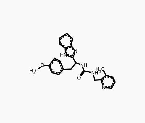 COc1ccc(CC(NC(=O)NCc2ncccc2C)c2nc3ccccc3[nH]2)cc1